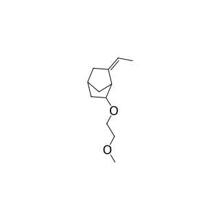 C/C=C1/CC2CC(OCCOC)C1C2